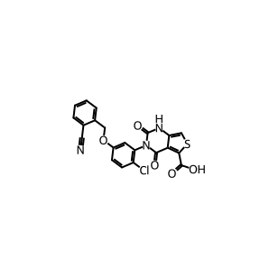 N#Cc1ccccc1COc1ccc(Cl)c(-n2c(=O)[nH]c3csc(C(=O)O)c3c2=O)c1